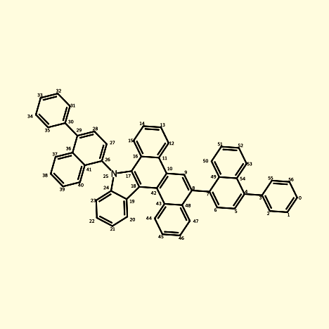 c1ccc(-c2ccc(-c3cc4c5ccccc5c5c(c6ccccc6n5-c5ccc(-c6ccccc6)c6ccccc56)c4c4ccccc34)c3ccccc23)cc1